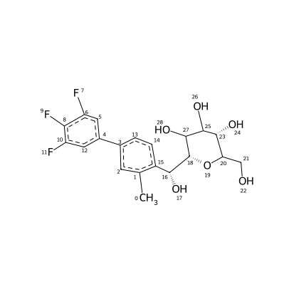 Cc1cc(-c2cc(F)c(F)c(F)c2)ccc1[C@@H](O)[C@H]1OC(CO)[C@@H](O)C(O)C1O